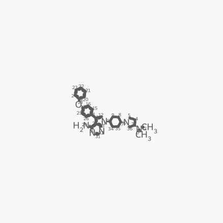 CN(C)[C@H]1CCN([C@H]2CC[C@H](n3cc(-c4ccc(Oc5ccccc5)cc4)c4c(N)ncnc43)CC2)C1